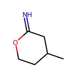 CC1CCOC(=N)C1